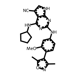 COc1cc(Nc2nc(NC3CCCC3)c3c(C#N)c[nH]c3n2)ccc1-c1c(C)noc1C